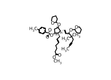 CC#CCC(C)(C)[C@@H](C=C[C@@H]1[C@@H](CC=CCCCC(=O)OC)[C@@H](OS(=O)(=O)c2ccc(C)cc2)C[C@H]1OC1CCCCO1)OC1CCCCO1